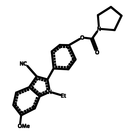 CCn1c(-c2ccc(OC(=O)N3CCCC3)cc2)c(C#N)c2ccc(OC)cc21